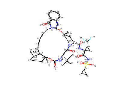 CC(C)(C)[C@@H]1NC(=O)O[C@@H]2CC3C[C@@H]3[C@H]2CCCCCn2c(nc3ccccc3c2=O)O[C@@H]2C[C@@H](C(=O)N[C@]3(C(=O)NS(=O)(=O)C4CC4)C[C@H]3C(F)F)N(C2)C1=O